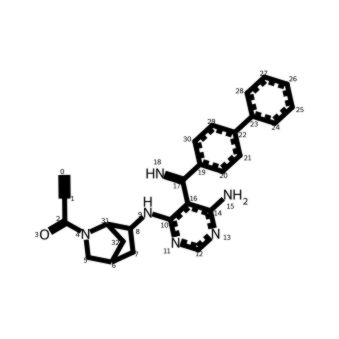 C#CC(=O)N1CC2CC(Nc3ncnc(N)c3C(=N)c3ccc(-c4ccccc4)cc3)C1C2